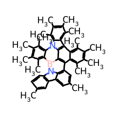 Cc1ccc2c(c1)c1cc(C)cc3c1n2B1c2c(C)c(C)c(C)c(C)c2-n2c4c(C)c(C)c(C)c(C)c4c4c5c(C)c(C)c(C)c(C)c5c-3c1c42